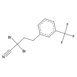 N#CC(Br)(Br)CCc1cccc(C(F)(F)F)c1